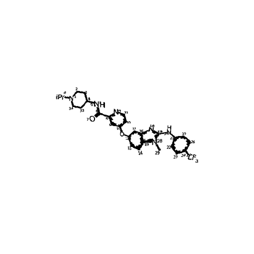 CC(C)N1CCC(NC(=O)c2cc(Oc3ccc4c(c3)nc(Nc3ccc(C(F)(F)F)cc3)n4C)ccn2)CC1